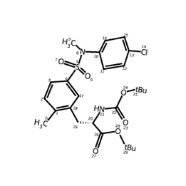 Cc1ccc(S(=O)(=O)N(C)c2ccc(Cl)cc2)cc1C[C@H](NC(=O)OC(C)(C)C)C(=O)OC(C)(C)C